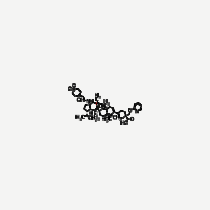 C=C(C)[C@@H]1CC[C@]2(NCCC3(O)CCS(=O)(=O)CC3)CC[C@@](C)([C@]3(C)CC[C@H]4C(C)(C)C(C5=CC[C@@](COc6ccccn6)(C(=O)O)CC5)=CC[C@]4(C)[C@H]3CCC)C[C@@H]12